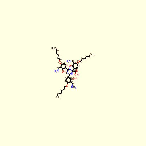 CCCCCCOc1ccc(C2=NC(C(=O)O)(c3ccc(OCCCCCC)c(CN)c3O)NC(c3ccc(OCCCCCC)c(CN)c3O)=N2)c(O)c1CN